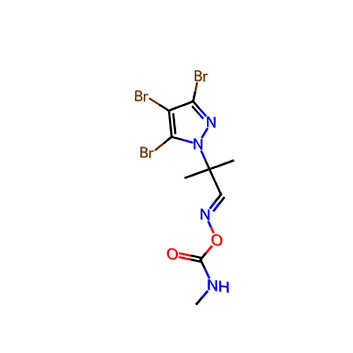 CNC(=O)ON=CC(C)(C)n1nc(Br)c(Br)c1Br